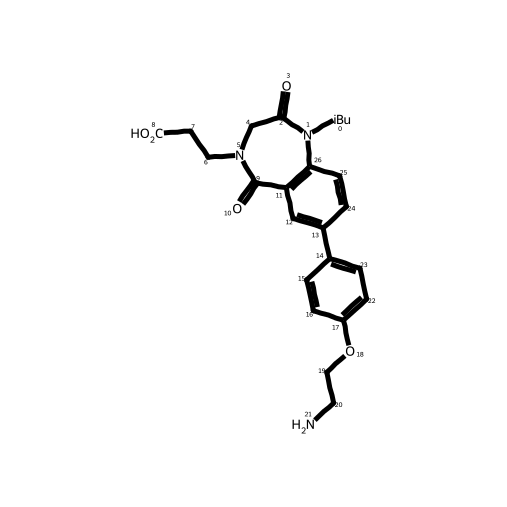 CCC(C)N1C(=O)CN(CCC(=O)O)C(=O)c2cc(-c3ccc(OCCN)cc3)ccc21